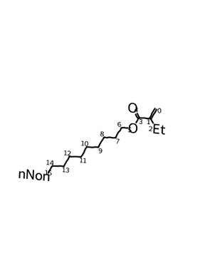 C=C(CC)C(=O)OCCCCCCCCCCCCCCCCCC